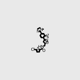 CN1CCN=C1c1ccc(C2=NOC(CNC(=O)c3ccc(Cl)s3)C2)c(N(C)C)c1